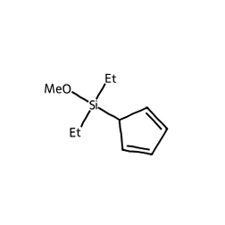 CC[Si](CC)(OC)C1C=CC=C1